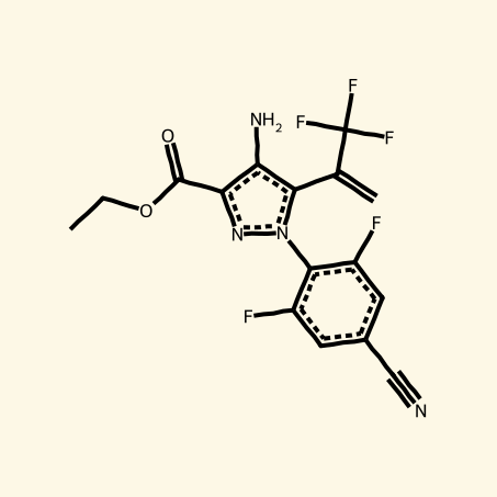 C=C(c1c(N)c(C(=O)OCC)nn1-c1c(F)cc(C#N)cc1F)C(F)(F)F